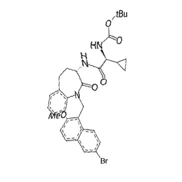 COc1ccc2cc(Br)ccc2c1CN1C(=O)[C@@H](NC(=O)[C@@H](NC(=O)OC(C)(C)C)C2CC2)CCc2ccccc21